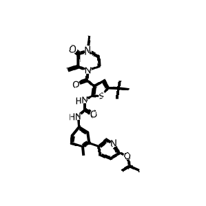 C=C1C(=O)N(C)CCN1C(=O)c1cc(C(C)(C)C)sc1NC(=O)Nc1ccc(C)c(-c2ccc(OC(C)C)nc2)c1